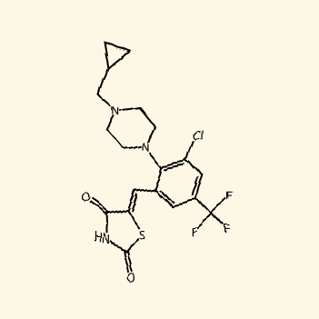 O=C1NC(=O)/C(=C/c2cc(C(F)(F)F)cc(Cl)c2N2CCN(CC3CC3)CC2)S1